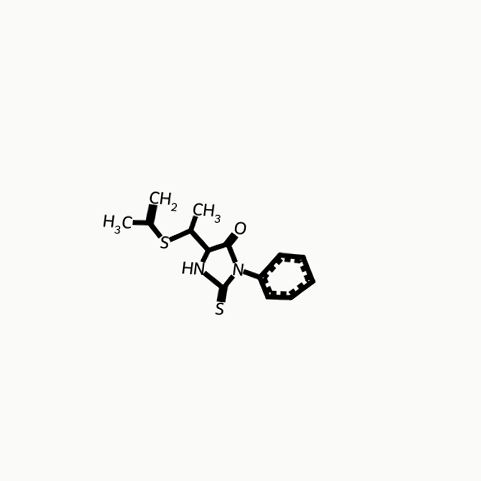 C=C(C)SC(C)C1NC(=S)N(c2ccccc2)C1=O